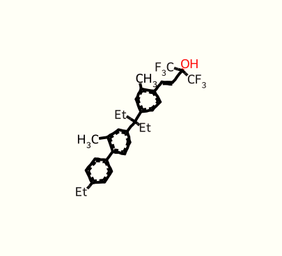 CCc1ccc(-c2ccc(C(CC)(CC)c3ccc(/C=C/C(O)(C(F)(F)F)C(F)(F)F)c(C)c3)cc2C)cc1